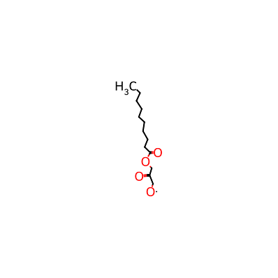 CCCCCCCCCC(=O)OCC(=O)C[O]